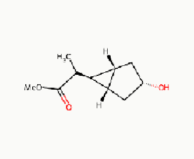 COC(=O)C(C)[C@H]1[C@@H]2C[C@H](O)C[C@@H]21